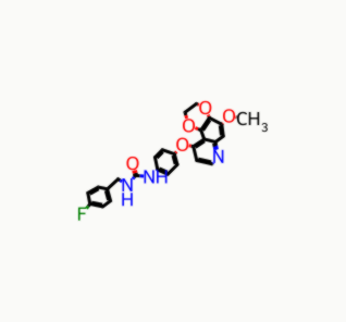 COc1cc2nccc(Oc3ccc(NC(=O)NCc4ccc(F)cc4)cc3)c2c2c1OCCO2